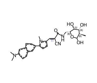 C[C@H]1C(O)O[C@H](CNC(=O)/C(C#N)=C/c2ccc(-c3ccc4cc(N(C)C)ccc4c3)n2C)[C@@H](O)[C@@H]1O